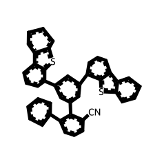 N#Cc1cccc(-c2ccccc2)c1-c1cc(-c2cccc3c2sc2ccccc23)cc(-c2cccc3c2sc2ccccc23)c1